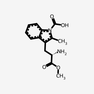 COC(=O)[C@@H](N)Cc1c(C)n(C(=O)O)c2ccccc12